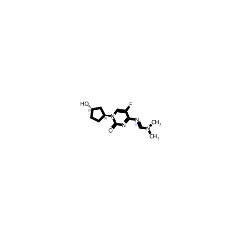 CN(C)/C=N/c1nc(=O)n([C@H]2CC[C@H](O)C2)cc1F